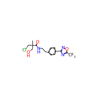 CC(CO)(CCl)C(=O)NCCc1ccc(-c2noc(C(F)(F)F)n2)cc1